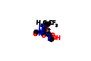 CCc1c(N2CCN(C(=O)c3ncccc3O)CC2)c(=O)n2nc(C3=CCCOC3)nc2n1CC(=O)Nc1ccc(C(F)(F)F)cc1C